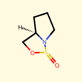 O=S1OC[C@H]2CCCN21